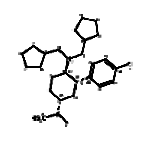 CC(C(=O)O)[C@@H]1CC[C@@H](N(CC2CCCC2)CC2CCCC2)[C@H](c2ccc(Cl)cc2)C1